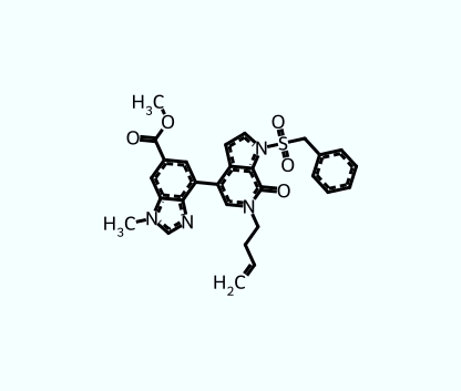 C=CCCn1cc(-c2cc(C(=O)OC)cc3c2ncn3C)c2ccn(S(=O)(=O)Cc3ccccc3)c2c1=O